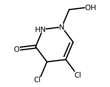 O=C1NN(CO)C=C(Cl)C1Cl